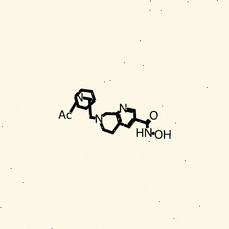 CC(=O)N1C2CCC(CC2)C1CN1CCc2cc(C(=O)NO)cnc2C1